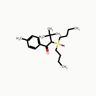 CCCCS(I)(CCCC)C(C(=O)c1ccc(C)cc1)C(C)(C)C